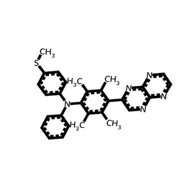 CSc1ccc(N(c2ccccc2)c2c(C)c(C)c(-c3cnc4nccnc4n3)c(C)c2C)cc1